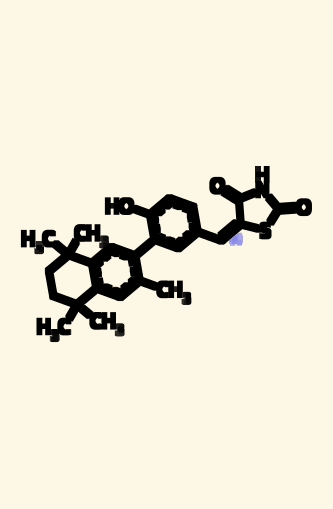 Cc1cc2c(cc1-c1cc(/C=C3/SC(=O)NC3=O)ccc1O)C(C)(C)CCC2(C)C